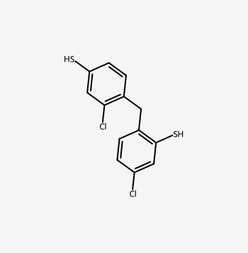 Sc1ccc(Cc2ccc(Cl)cc2S)c(Cl)c1